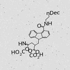 CCCCCCCCCCCCNC(=O)c1cccc2c1-c1ccccc1C2CC(CC(=N)OC(=O)O)C(=O)OC(=O)O